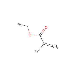 [2H]COC(=O)C(=C)CC